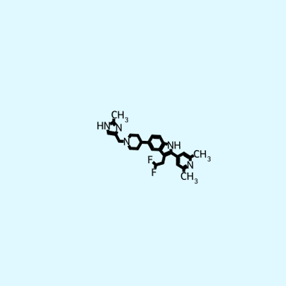 Cc1cc(-c2[nH]c3ccc(C4CCN(Cc5c[nH]c(C)n5)CC4)cc3c2CC(F)F)cc(C)n1